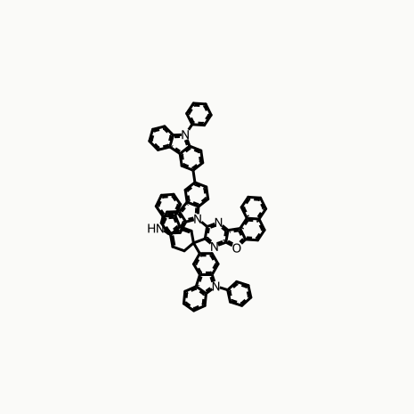 C1=c2[nH]c3ccccc3c2=CC(c2ccc3c(c2)c2ccccc2n3-c2ccccc2)(c2nc3oc4ccc5ccccc5c4c3nc2-n2c3ccccc3c3cc(-c4ccc5c(c4)c4ccccc4n5-c4ccccc4)ccc32)C1